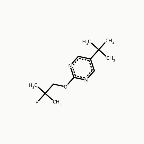 CC(C)(F)COc1ncc(C(C)(C)C)cn1